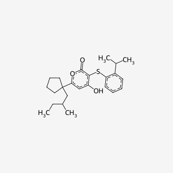 CCC(C)CC1(c2cc(O)c(Sc3ccccc3C(C)C)c(=O)o2)CCCC1